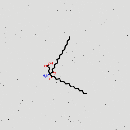 CCCCCCCCCCCCCCCC(=O)C(N)(CCC(=O)O)C(=O)CCCCCCCCCCCCCCC